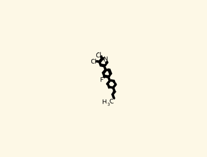 CCCCC1CCC(c2ccc(-c3cnc(Cl)c(Cl)c3)cc2F)CC1